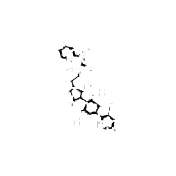 Cc1cc(-c2ncc(Cl)cc2F)cc(C)c1C1C(=O)CC(CCNC(=O)N(C)c2ccccn2)C1=O